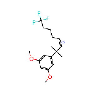 COc1cc(OC)cc(C(C)(C)/C=C\CCCC(F)(F)F)c1